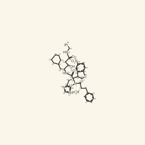 CC(=O)N(C(=O)[C@@H](N)Cc1ccccc1)[C@](Cc1c[nH]cn1)(C(=O)N[C@@H](CC1CCCCC1)C(O)CC(=O)NCC(C)C)C1COc2ccc([N+](=O)[O-])cc21